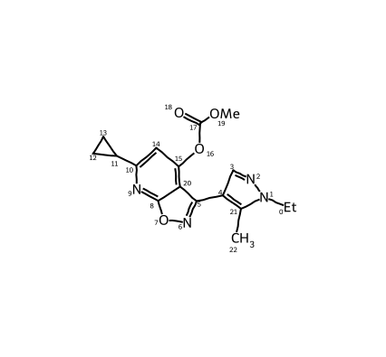 CCn1ncc(-c2noc3nc(C4CC4)cc(OC(=O)OC)c23)c1C